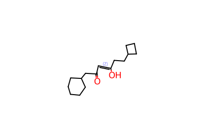 O=C(/C=C(\O)CCC1CCC1)CC1CCCCC1